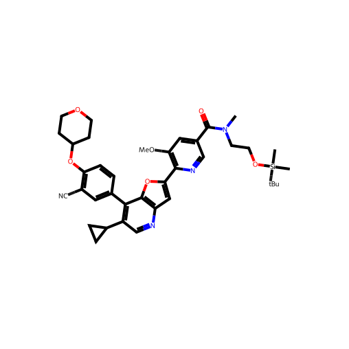 COc1cc(C(=O)N(C)CCO[Si](C)(C)C(C)(C)C)cnc1-c1cc2ncc(C3CC3)c(-c3ccc(OC4CCOCC4)c(C#N)c3)c2o1